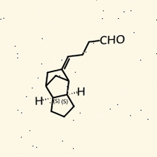 O=CCCC=C1CC2CC1[C@H]1CCC[C@@H]21